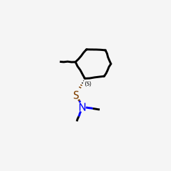 CC1CCCC[C@@H]1SN(C)C